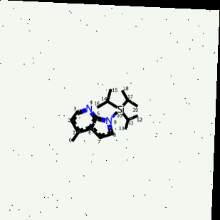 Cc1ccnc2c1ccn2[Si](C(C)C)(C(C)C)C(C)C